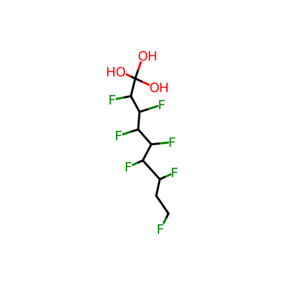 OC(O)(O)C(F)C(F)C(F)C(F)C(F)C(F)CCF